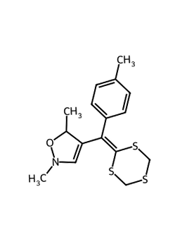 Cc1ccc(C(C2=CN(C)OC2C)=C2SCSCS2)cc1